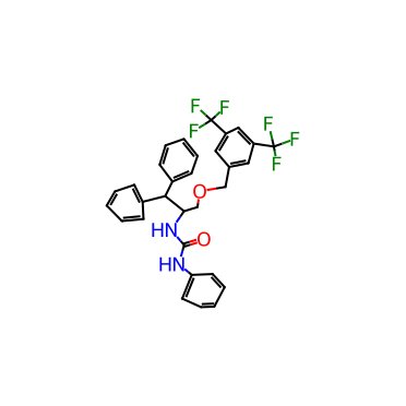 O=C(Nc1ccccc1)NC(COCc1cc(C(F)(F)F)cc(C(F)(F)F)c1)C(c1ccccc1)c1ccccc1